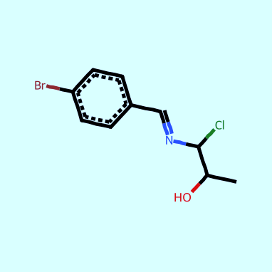 CC(O)C(Cl)N=Cc1ccc(Br)cc1